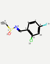 CC(C)(C)[S+]([O-])/N=C/c1ccc(F)cc1Cl